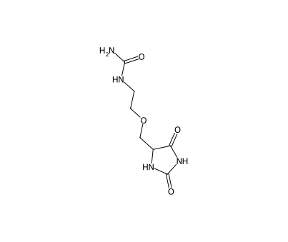 NC(=O)NCCOCC1NC(=O)NC1=O